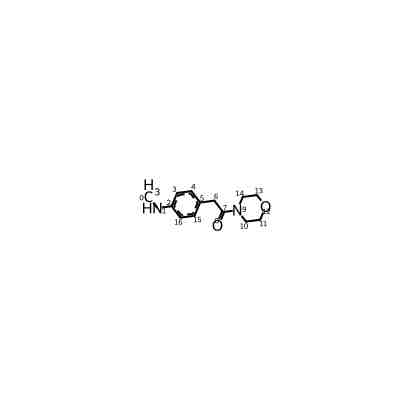 CNc1ccc(CC(=O)N2CCOCC2)cc1